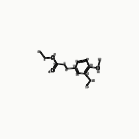 CCOC(=O)CCc1ccc(OC)c(CC)c1